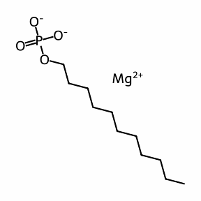 CCCCCCCCCCCOP(=O)([O-])[O-].[Mg+2]